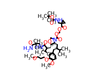 COCCCOc1cc(C[C@@H](C[C@H]2[C@H](C[C@H](C(=O)NCC(C)(C)C(N)=O)C(C)C)OCN2C(=O)OCOC(=O)C2(CNC(=O)OC(C)(C)C)CC2)C(C)C)ccc1OC